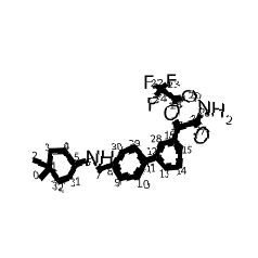 CC1(C)CCC(NCc2ccc(-c3cccc(C(OC(=O)C(F)(F)F)C(N)=O)c3)cc2)CC1